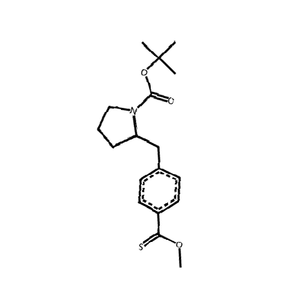 COC(=S)c1ccc(CC2CCCN2C(=O)OC(C)(C)C)cc1